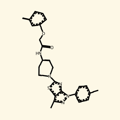 Cc1ccc(-n2nc(C)c3sc(N4CCC(NC(=O)COc5cccc(C)c5)CC4)nc32)cc1